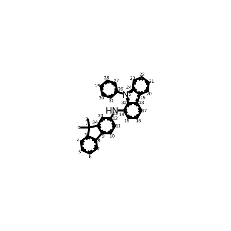 CC1(C)c2ccccc2-c2ccc(Nc3cccc4c5ccccc5n(-c5ccccc5)c34)cc21